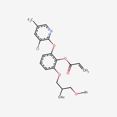 C=CC(=O)Oc1c(OCC(COC(C)C)OC(C)=O)cccc1Oc1ncc(C(F)(F)F)cc1Cl